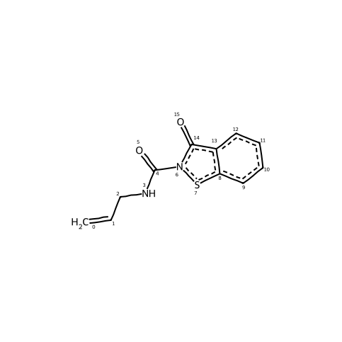 C=CCNC(=O)n1sc2ccccc2c1=O